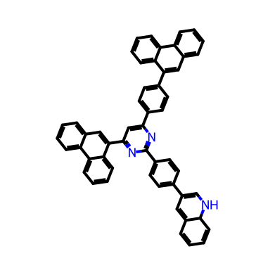 C1=CC2=CC(c3ccc(-c4nc(-c5ccc(-c6cc7ccccc7c7ccccc67)cc5)cc(-c5cc6ccccc6c6ccccc56)n4)cc3)=CNC2C=C1